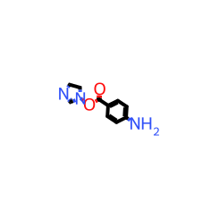 Nc1ccc(C(=O)ON2C=NCC2)cc1